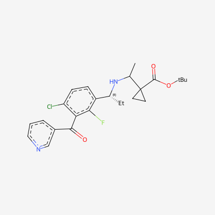 CC[C@@H](NC(C)C1(C(=O)OC(C)(C)C)CC1)c1ccc(Cl)c(C(=O)c2cccnc2)c1F